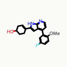 COc1ccc(F)cc1-c1ccnc2[nH]c(C3=CCC(O)CC3)cc12